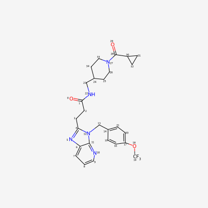 O=C(CCc1nc2cccnc2n1Cc1ccc(OC(F)(F)F)cc1)NCC1CCN(C(=O)C2CC2)CC1